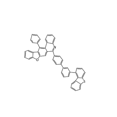 c1ccc(-c2c3c(cc4c(-c5ccc(-c6cccc(-c7cccc8sc9ccccc9c78)c6)cc5)nc5ccccc5c24)oc2ccccc23)cc1